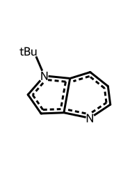 CC(C)(C)n1ccc2ncccc21